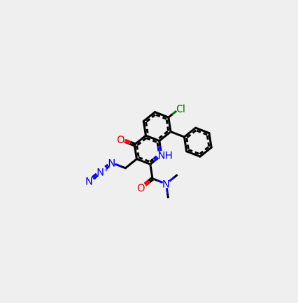 CN(C)C(=O)c1[nH]c2c(-c3ccccc3)c(Cl)ccc2c(=O)c1CN=[N+]=[N-]